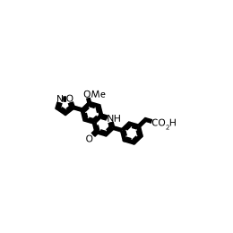 COc1cc2[nH]c(-c3cccc(CC(=O)O)c3)cc(=O)c2cc1-c1ccno1